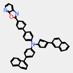 c1ccc2cc(-c3ccc(N(c4ccc(-c5ccc(-c6nc7cccnc7o6)cc5)cc4)c4ccc(-c5cccc6ccccc56)cc4)cc3)ccc2c1